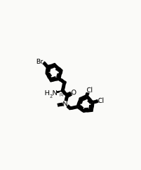 CN(Cc1ccc(Cl)c(Cl)c1)C(=O)[C@@H](N)Cc1ccc(Br)cc1